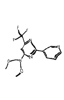 CON(OC)c1cc(C(F)(F)F)nc(-c2cccnc2)n1